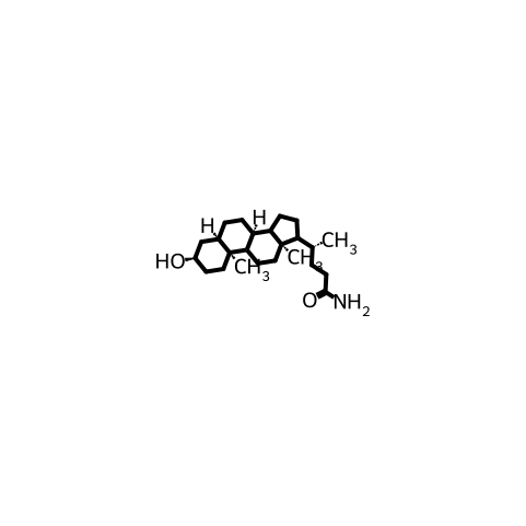 C[C@H](CCC(N)=O)C1CCC2[C@@H]3CC[C@@H]4C[C@H](O)CC[C@]4(C)C3CC[C@@]21C